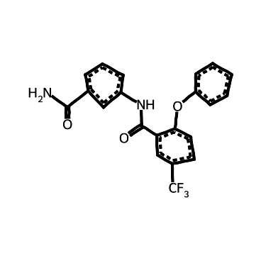 NC(=O)c1cccc(NC(=O)c2cc(C(F)(F)F)ccc2Oc2ccccc2)c1